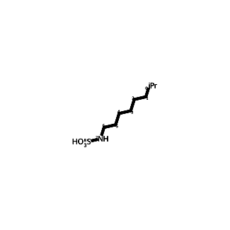 CC(C)CCCCCCNS(=O)(=O)O